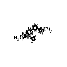 Cn1cc(-c2cccc(-c3ncc(-c4ccn(C)n4)c(NC4CCC4)n3)c2)cn1